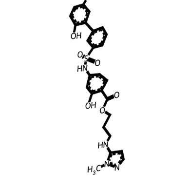 Cn1nccc1NCCCOC(=O)c1ccc(NS(=O)(=O)c2cccc(-c3cc(F)ccc3O)c2)cc1O